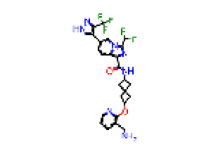 NCc1cccnc1OC1CC2(CC(NC(=O)c3nc(C(F)F)n4cc(-c5c[nH]nc5C(F)(F)F)ccc34)C2)C1